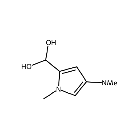 CNc1cc(C(O)O)n(C)c1